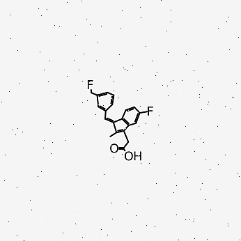 CC1=C(CC(=O)O)c2cc(F)ccc2/C1=C\c1cccc(CF)c1